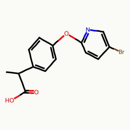 CC(C(=O)O)c1ccc(Oc2ccc(Br)cn2)cc1